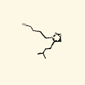 CC(C)CCc1cnnn1CCCCS